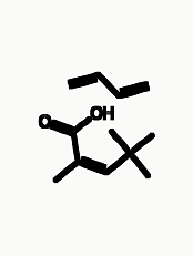 C=CC=C.CC(=CC(C)(C)C)C(=O)O